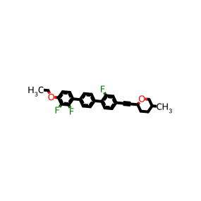 CCOc1ccc(-c2ccc(-c3ccc(C#CC4CCC(C)CO4)cc3F)cc2)c(F)c1F